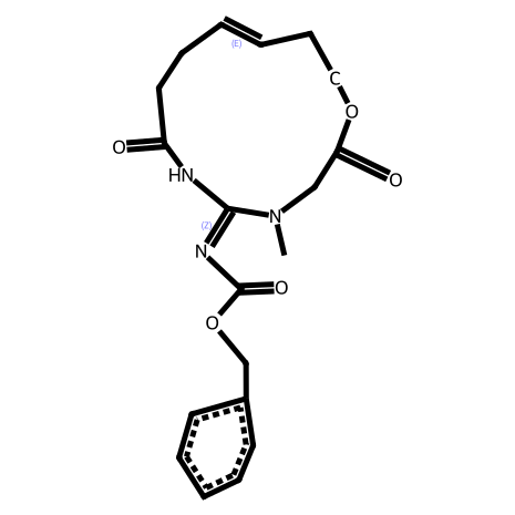 CN1CC(=O)OCC/C=C/CCC(=O)N/C1=N/C(=O)OCc1ccccc1